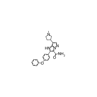 CN1CCC(c2cnn3c(C(N)=O)c(-c4ccc(Oc5ccccc5)cc4)[nH]c23)C1